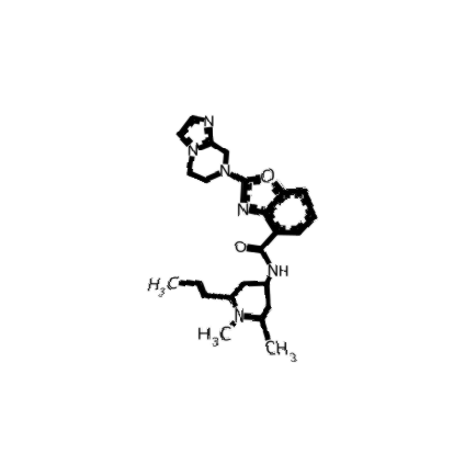 CCCC1CC(NC(=O)c2cccc3oc(N4CCn5ccnc5C4)nc23)CC(C)N1C